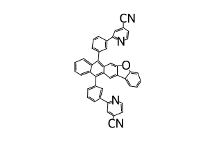 N#Cc1ccnc(-c2cccc(-c3c4ccccc4c(-c4cccc(-c5cc(C#N)ccn5)c4)c4cc5c(cc34)oc3ccccc35)c2)c1